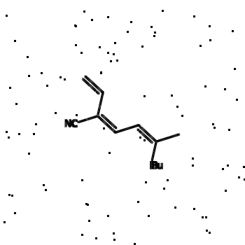 C=C/C(C#N)=C\C=C(\C)C(C)CC